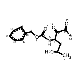 CC(C)CC(NC(=O)OCc1ccccc1)C(=O)C(=O)Br